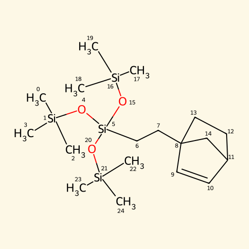 C[Si](C)(C)O[Si](CCC12C=CC(CC1)C2)(O[Si](C)(C)C)O[Si](C)(C)C